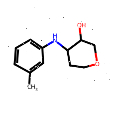 Cc1cccc(NC2CCOCC2O)c1